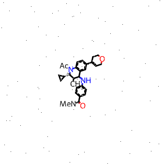 CNC(=O)c1ccc(NC2c3cc(C4=CCOCC4)ccc3N(C(C)=O)[C@@H](C3CC3)C2C)cc1